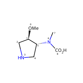 CO[C@@H]1CNC[C@H]1N(C)C(=O)O